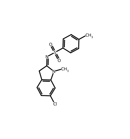 Cc1ccc(S(=O)(=O)N=C2Cc3ccc(Cl)cc3N2C)cc1